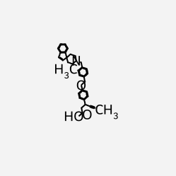 CC#CC(CC(=O)O)c1ccc(OCc2ccc(CN3CCC4(C=Cc5ccccc54)CC3)c(C)c2)cc1